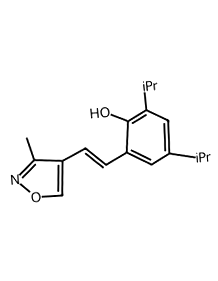 Cc1nocc1C=Cc1cc(C(C)C)cc(C(C)C)c1O